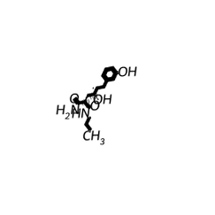 CCCCNC(=O)[C@H](C[C@@H](O)[CH]Cc1cccc(O)c1)C(N)=O